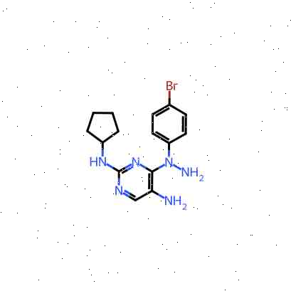 Nc1cnc(NC2CCCC2)nc1N(N)c1ccc(Br)cc1